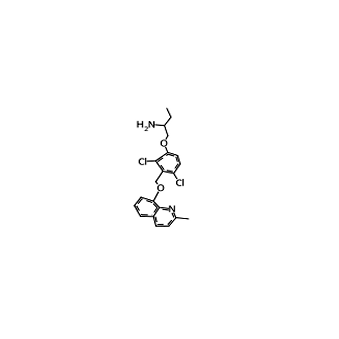 CCC(N)COc1ccc(Cl)c(COc2cccc3ccc(C)nc23)c1Cl